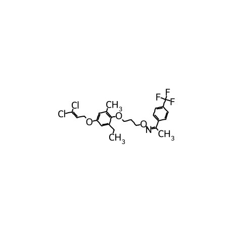 CCc1cc(OCC=C(Cl)Cl)cc(C)c1OCCCON=C(C)c1ccc(C(F)(F)F)cc1